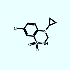 O=S1(=O)NCN(C2CC2)c2ccc(Cl)cc21